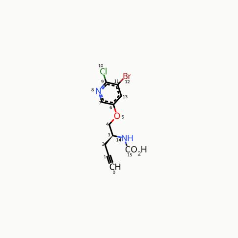 C#CC[C@@H](COc1cnc(Cl)c(Br)c1)NC(=O)O